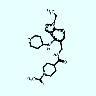 CCn1ncc2c(NC3CCOCC3)c(CNC(=O)C3CCN(C(C)=O)CC3)cnc21